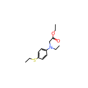 CCOC(=O)CN(CC)c1ccc(SCC)cc1